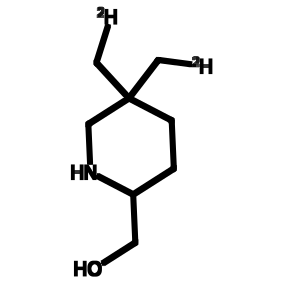 [2H]CC1(C[2H])CCC(CO)NC1